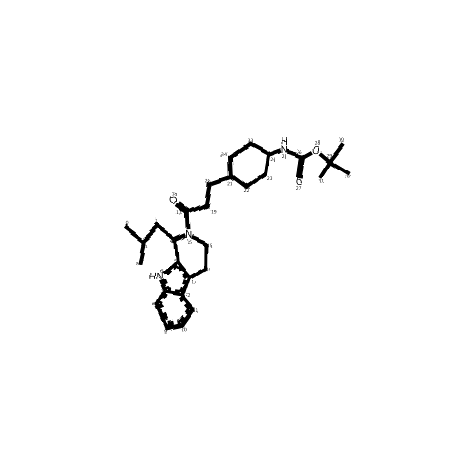 CC(C)CC1c2[nH]c3ccccc3c2CCN1C(=O)CCC1CCC(NC(=O)OC(C)(C)C)CC1